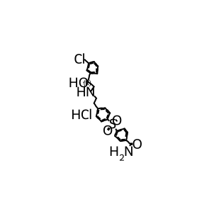 Cl.NC(=O)c1ccc(S(=O)(=O)c2ccc(CCNC[C@H](O)c3cccc(Cl)c3)cc2)cc1